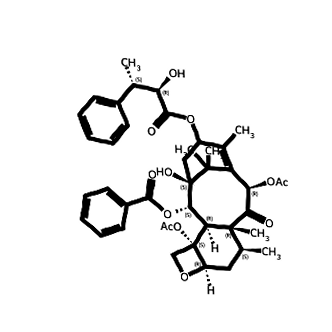 CC(=O)O[C@H]1C(=O)[C@@]2(C)[C@H]([C@H](OC(=O)c3ccccc3)[C@]3(O)CC(OC(=O)[C@H](O)[C@@H](C)c4ccccc4)C(C)=C1C3(C)C)[C@]1(OC(C)=O)CO[C@@H]1C[C@@H]2C